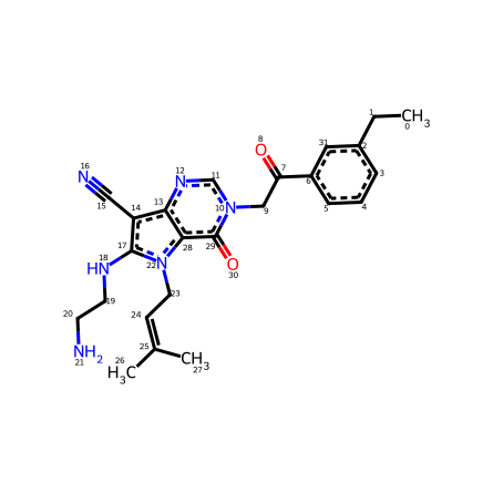 CCc1cccc(C(=O)Cn2cnc3c(C#N)c(NCCN)n(CC=C(C)C)c3c2=O)c1